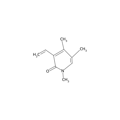 C=Cc1c(C)c(C)cn(C)c1=O